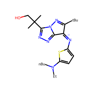 CCCCN(CC)c1ccc(/N=C2/C(C(C)(C)C)=Nn3c2nnc3C(C)(C)CO)s1